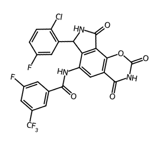 O=C(Nc1cc2c(=O)[nH]c(=O)oc2c2c1C(c1cc(F)ccc1Cl)NC2=O)c1cc(F)cc(C(F)(F)F)c1